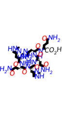 NC(=O)CC[C@H](NC(=O)[C@H](Cc1c[nH]cn1)NC(=O)[C@H](CCC(N)=O)NC(=O)[C@H](Cc1c[nH]cn1)NC(=O)[C@H](CCC(N)=O)NC(=O)[C@@H](N)Cc1c[nH]cn1)C(=O)O